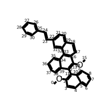 COc1ccc2ccccc2c1-c1c(OC)c2ccc3ccc(C=Cc4ccccc4)cc3c2c2ccccc12